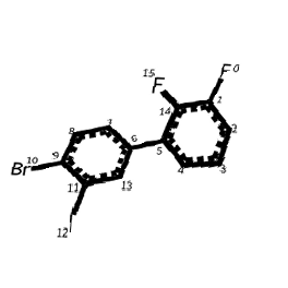 Fc1cccc(-c2ccc(Br)c(I)c2)c1F